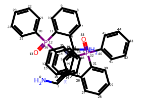 N/C=C(\C=C(/N)c1ccccc1P(=O)(c1ccccc1)c1ccccc1)c1ccccc1P(=O)(c1ccccc1)c1ccccc1